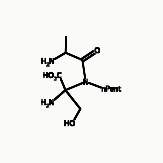 CCCCCN(C(=O)C(C)N)C(N)(CO)C(=O)O